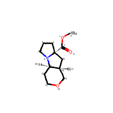 CC(C)(C)OC(=O)[C@@]12CCCN1[C@@H]1CCOC[C@@H]1C2